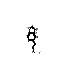 [CH2]CCc1ccc2scnc2c1